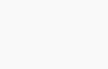 COc1nccc(I)c1-c1cc2ccc(NC(=O)C(F)F)cc2[nH]1